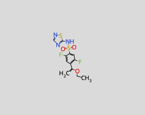 C=C(OCC)c1cc(F)c(S(=O)(=O)Nc2ncns2)cc1F